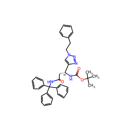 CC(C)(C)OC(=O)N[C@H](CC(=O)NC(c1ccccc1)(c1ccccc1)c1ccccc1)c1cn(CCc2ccccc2)nn1